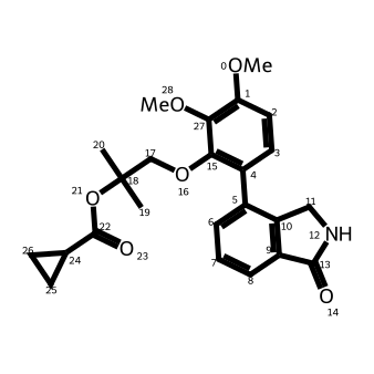 COc1ccc(-c2cccc3c2CNC3=O)c(OCC(C)(C)OC(=O)C2CC2)c1OC